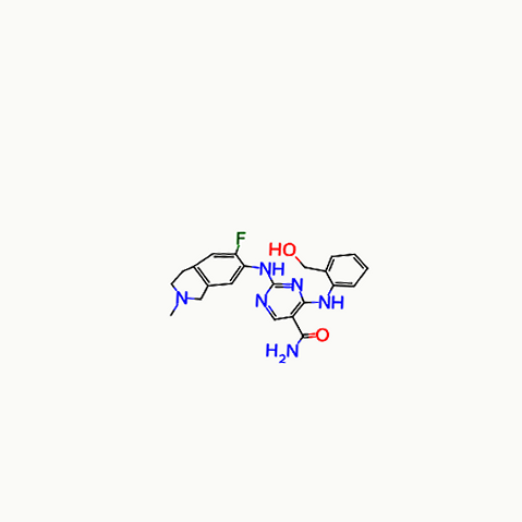 CN1CCc2cc(F)c(Nc3ncc(C(N)=O)c(Nc4ccccc4CO)n3)cc2C1